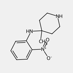 CC1(Nc2ccccc2[N+](=O)[O-])CCNCC1